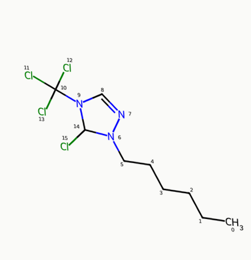 CCCCCCN1N=CN(C(Cl)(Cl)Cl)C1Cl